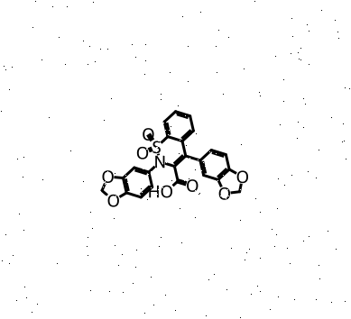 O=C(O)C1=C(c2ccc3c(c2)OCO3)c2ccccc2S(=O)(=O)N1c1ccc2c(c1)OCO2